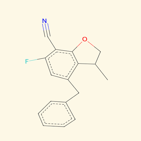 CC1COc2c(C#N)c(F)cc(Cc3ccccc3)c21